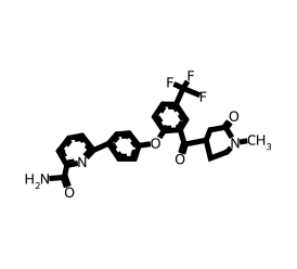 CN1CCC(C(=O)c2cc(C(F)(F)F)ccc2Oc2ccc(-c3cccc(C(N)=O)n3)cc2)CC1=O